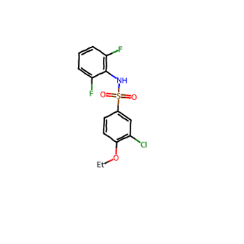 CCOc1ccc(S(=O)(=O)Nc2c(F)cccc2F)cc1Cl